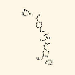 COc1cc(NC(=O)C(=O)NC(C)(C)COc2ccc(C(=O)OCc3ccccc3)cc2)ccc1-c1cnco1